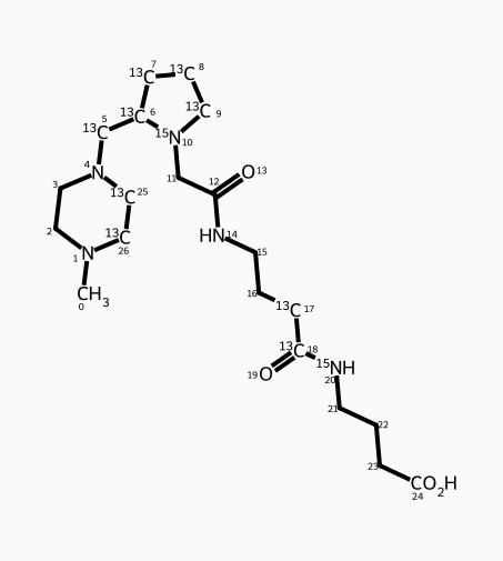 CN1CCN([13CH2][13CH]2[13CH2][13CH2][13CH2][15N]2CC(=O)NCC[13CH2][13C](=O)[15NH]CCCC(=O)O)[13CH2][13CH2]1